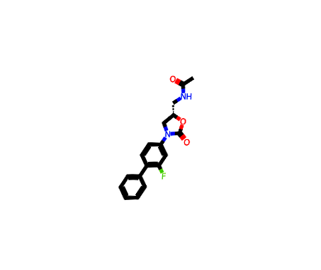 CC(=O)NC[C@H]1CN(c2ccc(-c3ccccc3)c(F)c2)C(=O)O1